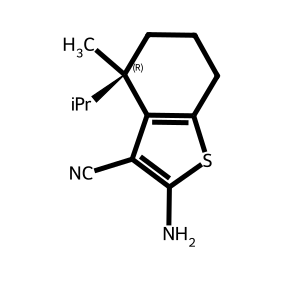 CC(C)[C@@]1(C)CCCc2sc(N)c(C#N)c21